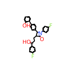 O=C1C(CC[C@H](O)c2ccc(F)cc2)C(c2ccc(-c3ccccc3O)cc2)N1c1ccc(F)cc1